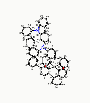 c1ccc(-c2ccc3c(c2)C2(c4ccccc4-c4ccc(N(c5ccc6c7ccccc7n(-c7ccccc7)c6c5)c5cccc6ccccc56)c5cccc2c45)c2cccc4cccc-3c24)cc1